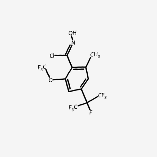 Cc1cc(C(F)(C(F)(F)F)C(F)(F)F)cc(OC(F)(F)F)c1C(Cl)=NO